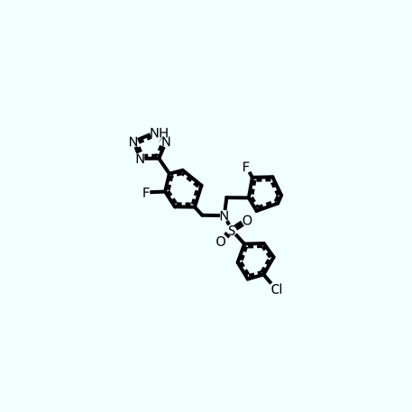 O=S(=O)(c1ccc(Cl)cc1)N(Cc1ccc(-c2nn[nH]n2)c(F)c1)Cc1ccccc1F